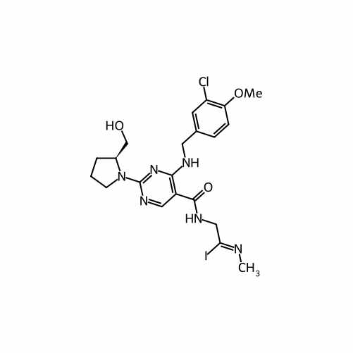 C/N=C(\I)CNC(=O)c1cnc(N2CCC[C@H]2CO)nc1NCc1ccc(OC)c(Cl)c1